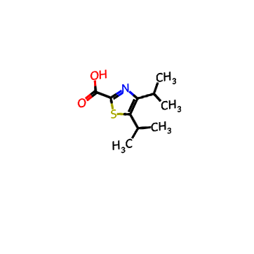 CC(C)c1nc(C(=O)O)sc1C(C)C